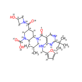 CC(C)CN(C(=O)c1cnc(C(C)(C)C)nc1NCc1ccco1)C1CC(C(=O)N2CC(O)C2)CN(C(=O)O)C1